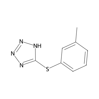 Cc1cccc(Sc2nnn[nH]2)c1